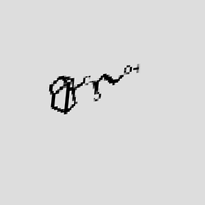 O=C(C=CO)OC12CC3CC(CC(C3)C1)C2